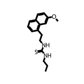 CCCNC(=S)NCCc1cccc2ccc(OC)cc12